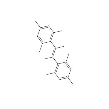 C/C(=C(/C)c1c(C)cc(C)cc1C)c1c(C)cc(C)cc1C